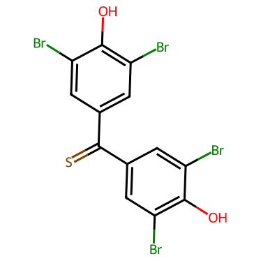 Oc1c(Br)cc(C(=S)c2cc(Br)c(O)c(Br)c2)cc1Br